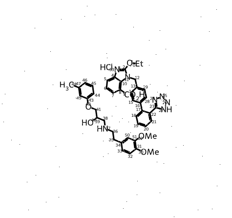 CCOc1nc2cccc(C(=O)O)c2n1Cc1ccc(-c2ccccc2-c2nnn[nH]2)cc1.COc1ccc(CCNCC(O)COc2cccc(C)c2)cc1OC.Cl